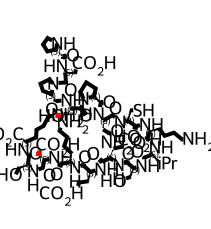 CC(C)[C@H](NC(=O)[C@H](CCCCN)NC(=O)[C@H](CS)NC(=O)[C@H](CC(N)=O)NC(=O)[C@@H]1CCCN1C(=O)[C@H](CO)NC(=O)[C@@H]1CCCN1C(=O)[C@H](CC(=O)O)NC(=O)[C@@H]1CCCN1)C(=O)N[C@@H](CO)C(=O)N[C@@H](CCC(=O)O)C(=O)N[C@@H](CCC(=O)O)C(=O)N[C@@H](CCCCN)C(=O)N[C@@H](CC(=O)O)C(=O)N[C@@H](CO)C(=O)N[C@@H](CCCCN)C(=O)O